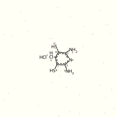 Cl.Cl.Nc1nc(N)c(S)cc1S